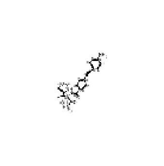 CC(O)(c1c[nH]nn1)[C@H](NC(=O)c1ccc(C#Cc2ccc(N)cc2)cc1)C(=O)NO